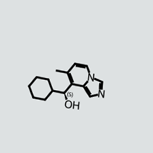 Cc1ccn2cncc2c1[C@@H](O)C1CCCCC1